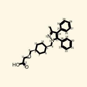 Cc1nn(C[C@H]2CC[C@@H](COCC(=O)O)CC2)c(-c2ccccc2)c1-c1ccccc1